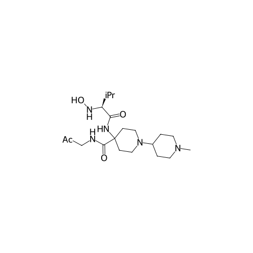 CC(=O)CNC(=O)C1(NC(=O)[C@@H](NO)C(C)C)CCN(C2CCN(C)CC2)CC1